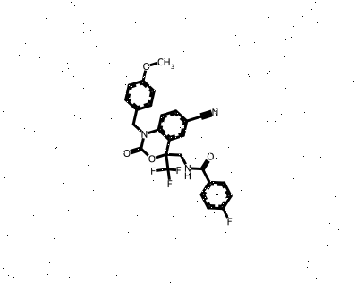 COc1ccc(CN2C(=O)OC(CNC(=O)c3ccc(F)cc3)(C(F)(F)F)c3cc(C#N)ccc32)cc1